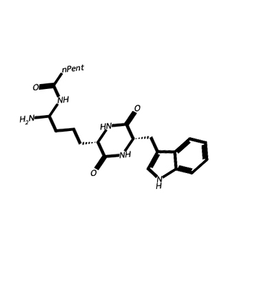 CCCCCC(=O)NC(N)CCC[C@@H]1NC(=O)[C@H](Cc2c[nH]c3ccccc23)NC1=O